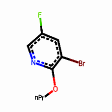 CCCOc1ncc(F)cc1Br